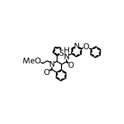 COCCN1C(=O)c2ccccc2C(C(=O)Nc2ccc(Oc3ccccc3)nc2)C1c1cccs1